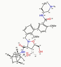 COc1ccc(-c2cccc(CN3O[C@@H](CO)[C@H]([C@H](C)O)[C@H]3C(=O)N[C@H]3C[C@H]4C[C@@H]([C@@H]3C)C4(C)C)c2OC)cc1C(=O)N[C@@H](CC(C)C)CN(C)C